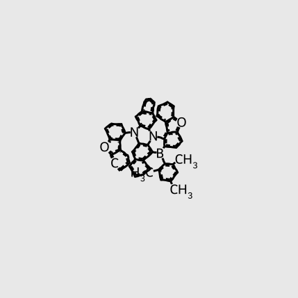 Cc1cc(C)c(B2c3ccc4oc5ccccc5c4c3N3c4cc5ccccc5cc4N(c4cccc5oc6ccccc6c45)c4cc5ccccc5c2c43)c(C)c1